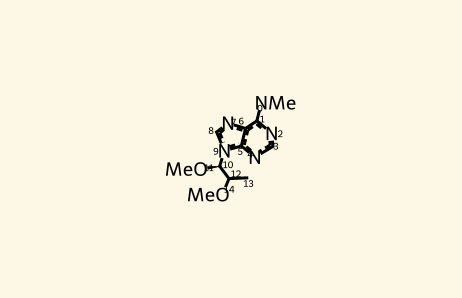 CNc1ncnc2c1ncn2[C@H](OC)C(C)OC